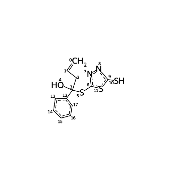 C=CCC(O)(Sc1nnc(S)s1)c1ccccc1